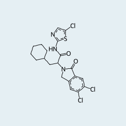 O=C(Nc1ncc(Cl)s1)C(CC1CCCCC1)N1Cc2cc(Cl)c(Cl)cc2C1=O